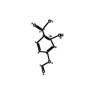 O=[C]Oc1ccc([N+](=O)[O-])c(O)c1